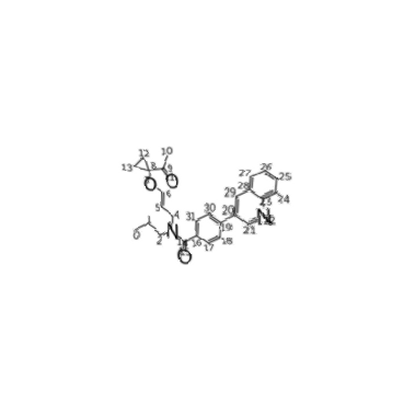 CCCN(C/C=C/OC1(C(C)=O)CC1)C(=O)c1ccc(-c2cnc3ccccc3c2)cc1